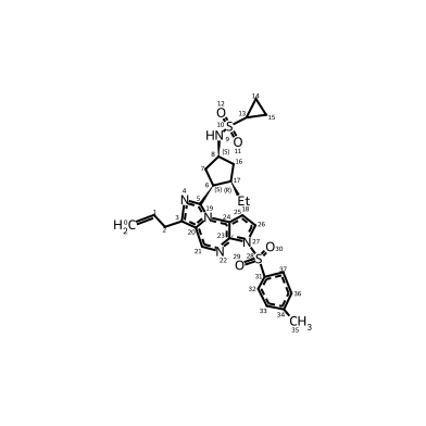 C=CCc1nc([C@H]2C[C@@H](NS(=O)(=O)C3CC3)C[C@H]2CC)n2c1cnc1c2ccn1S(=O)(=O)c1ccc(C)cc1